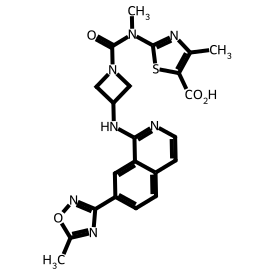 Cc1nc(-c2ccc3ccnc(NC4CN(C(=O)N(C)c5nc(C)c(C(=O)O)s5)C4)c3c2)no1